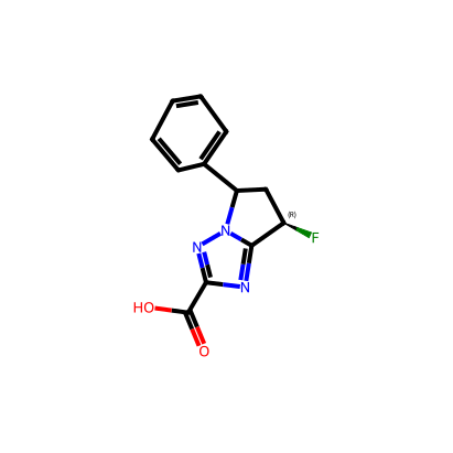 O=C(O)c1nc2n(n1)C(c1ccccc1)C[C@H]2F